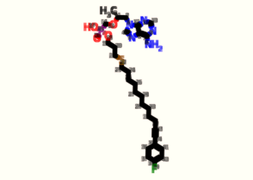 C[C@H](Cn1cnc2c(N)ncnc21)OCP(=O)(O)OCCCSCCCCCCCCCCC#Cc1ccc(F)cc1